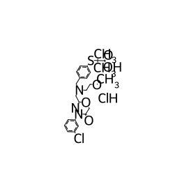 COCCN(CC1=NN(c2cccc(Cl)c2)C(=O)CO1)Cc1ccc(SC(C)(C)C(=O)O)cc1.Cl